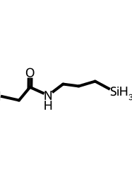 O=C(CI)NCCC[SiH3]